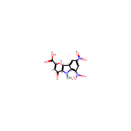 Cn1c2c([N+](=O)[O-])cc([N+](=O)[O-])cc2c2oc(C(=O)O)cc(=O)c21